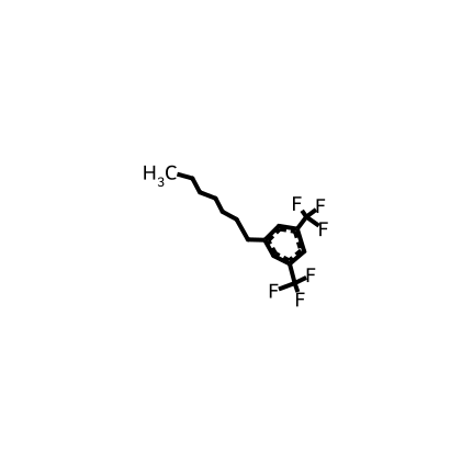 CCCCCCCc1cc(C(F)(F)F)cc(C(F)(F)F)c1